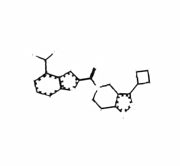 O=C(c1cc2c(C(F)F)cccc2[nH]1)N1CCc2n[nH]c(C3CCC3)c2C1